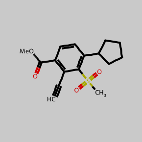 C#Cc1c(C(=O)OC)ccc(C2CCCC2)c1S(C)(=O)=O